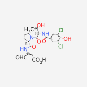 C[C@@H](O)[C@H](NC(=O)c1cc(Cl)c(O)c(Cl)c1)C(=O)N1CCC[C@H]1C(=O)N[C@H](C=O)CC(=O)O